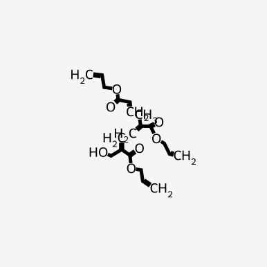 C=CCOC(=O)C(=C)C.C=CCOC(=O)C(=C)CO.C=CCOC(=O)C=C